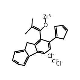 CC(C)=C([O][Zr+3])c1c(C2=CC=CC2)ccc2c1Cc1ccccc1-2.[Cl-].[Cl-].[Cl-]